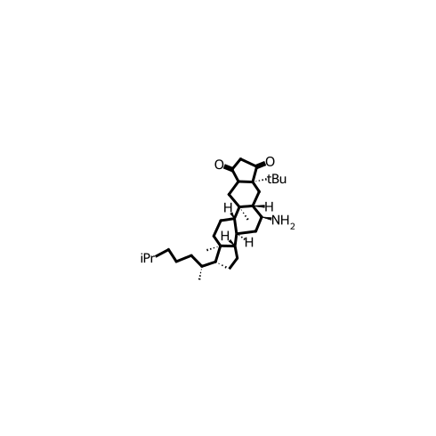 CC(C)CCC[C@@H](C)[C@H]1CC[C@H]2[C@@H]3C[C@H](N)[C@H]4C[C@]5(C(C)(C)C)C(=O)CC(=O)C5C[C@]4(C)[C@H]3CC[C@]12C